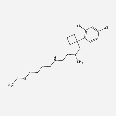 CCSCCCCNCCC(C)CC1(c2ccc(Cl)cc2Cl)CCC1